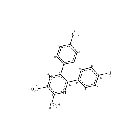 Cc1ccc(-c2nc(C(=O)O)c(C(=O)O)nc2-c2ccc(Cl)cc2)cc1